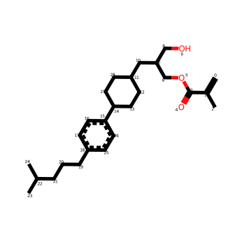 C=C(C)C(=O)OCC(CO)CC1CCC(c2ccc(CCCC(C)C)cc2)CC1